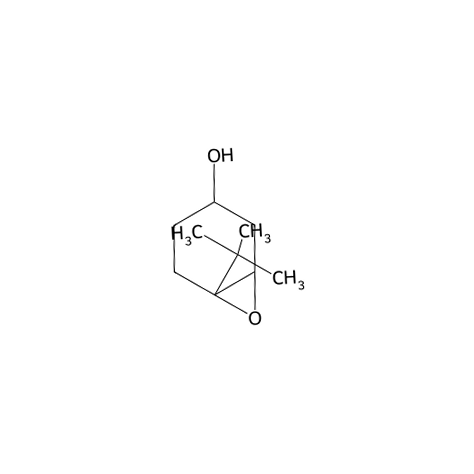 CC(C)(C)C12CCC(O)CC1O2